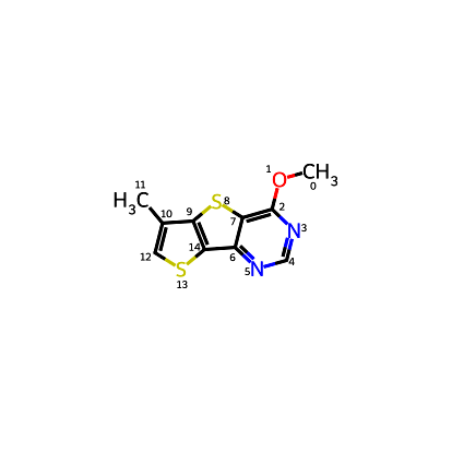 COc1ncnc2c1sc1c(C)csc12